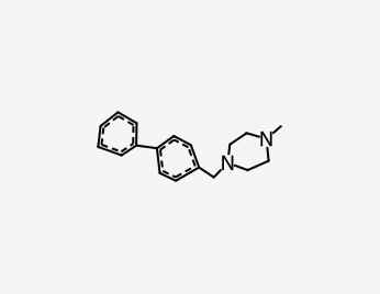 CN1CCN(Cc2ccc(-c3ccccc3)cc2)CC1